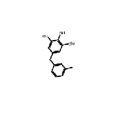 Cc1cc[c]c(Cc2cc(C(C)(C)C)c(O)c(C(C)(C)C)c2)c1